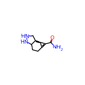 NC(=O)C1=C2CCC3NNCC3=C21